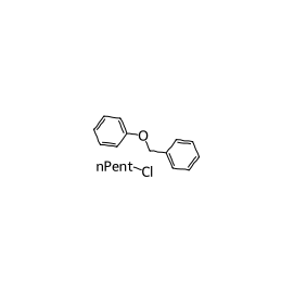 CCCCCCl.c1ccc(COc2ccccc2)cc1